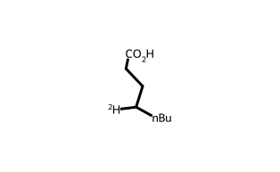 [2H]C(CCCC)CCC(=O)O